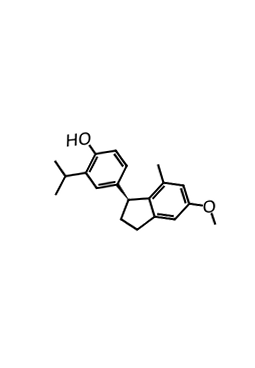 COc1cc(C)c2c(c1)CC[C@H]2c1ccc(O)c(C(C)C)c1